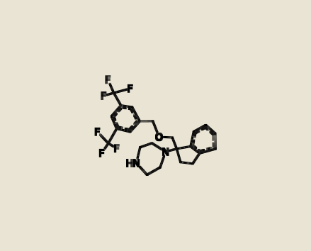 FC(F)(F)c1cc(COCC2(N3CCNCC3)CCc3ccccc32)cc(C(F)(F)F)c1